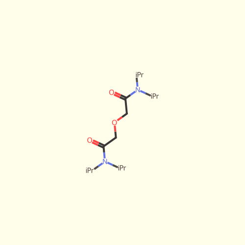 CC(C)N(C(=O)COCC(=O)N(C(C)C)C(C)C)C(C)C